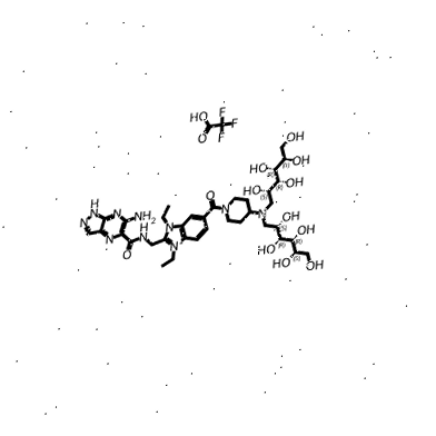 CCn1c(CNC(=O)c2nc3cn[nH]c3nc2N)[n+](CC)c2ccc(C(=O)N3CCC(N(C[C@H](O)[C@@H](O)[C@H](O)[C@H](O)CO)C[C@H](O)[C@@H](O)[C@H](O)[C@H](O)CO)CC3)cc21.O=C(O)C(F)(F)F